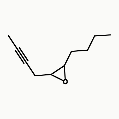 CC#CCC1OC1CCCC